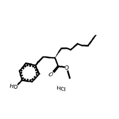 CCCCC[C@H](Cc1ccc(O)cc1)C(=O)OC.Cl